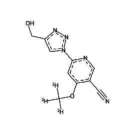 [2H]C([2H])([2H])Oc1cc(-n2cc(CO)nn2)ncc1C#N